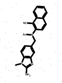 CC(=O)N(Cc1ccc2c(c1)nc(N)n2C)c1ccc2ccccc2c1C#N